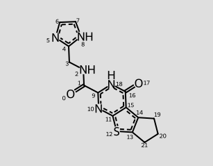 O=C(NCc1ncc[nH]1)c1nc2sc3c(c2c(=O)[nH]1)CCC3